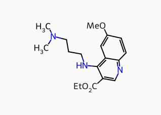 CCOC(=O)c1cnc2ccc(OC)cc2c1NCCCN(C)C